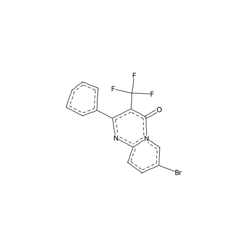 O=c1c(C(F)(F)F)c(-c2ccccc2)nc2ccc(Br)cn12